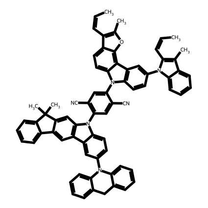 C/C=C\c1c(C)oc2c1ccc1c2c2cc(-n3c(/C=C\C)c(C)c4ccccc43)ccc2n1-c1cc(C#N)c(-n2c3ccc(N4c5ccccc5Cc5ccccc54)cc3c3cc4c(cc32)C(C)(C)c2ccccc2-4)cc1C#N